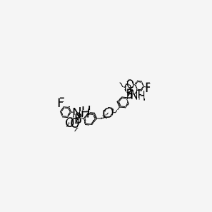 CCOB(Nc1cc(F)ccc1OC)c1ccc(COCc2ccc(B(Nc3cc(F)ccc3OC)OCC)cc2)cc1